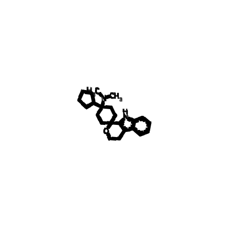 CN(C)C1(C2CCCC2)CCC2(CC1)OCCc1c2[nH]c2ccccc12